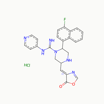 Cl.N=C(Nc1ccncc1)N1CC(/C=C2\N=COC2=O)NCC1c1ccc(F)c2ccccc12